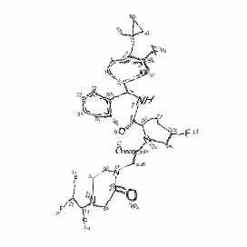 CC1(c2ccc(C(NC(=O)C3CC(F)CN3C(=O)CN3CCN(C(F)C(F)F)CC3=O)c3ccccc3)cc2F)CC1